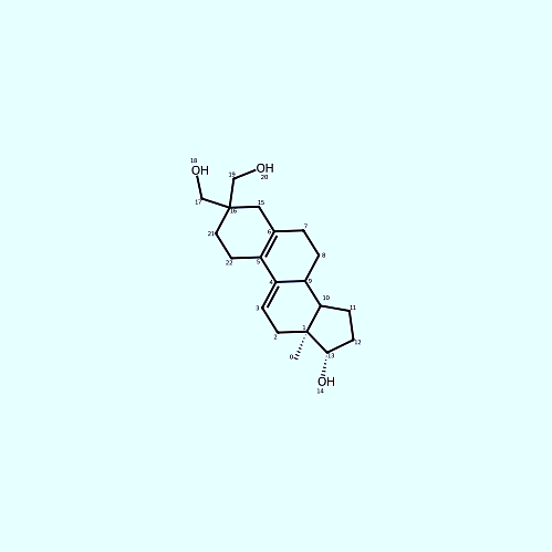 C[C@]12CC=C3C4=C(CCC3C1CC[C@@H]2O)CC(CO)(CO)CC4